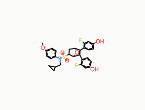 COc1ccc(N(CC2CC2)S(=O)(=O)C2CC3OC2C(c2ccc(O)cc2F)=C3c2ccc(O)cc2F)cc1